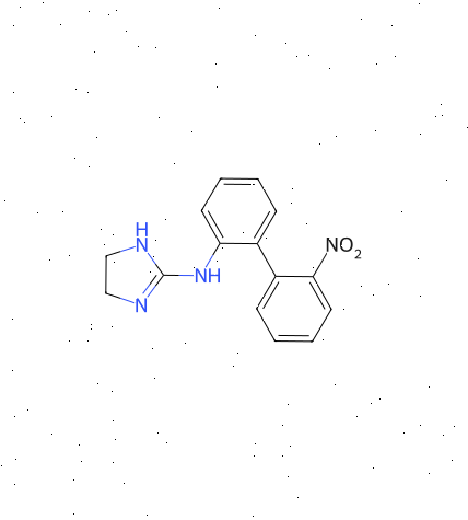 O=[N+]([O-])c1ccccc1-c1ccccc1NC1=NCCN1